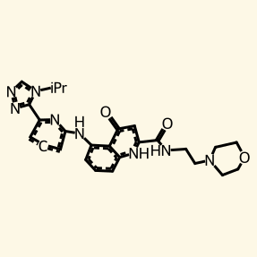 CC(C)n1cnnc1-c1cccc(Nc2cccc3[nH]c(C(=O)NCCN4CCOCC4)cc(=O)c23)n1